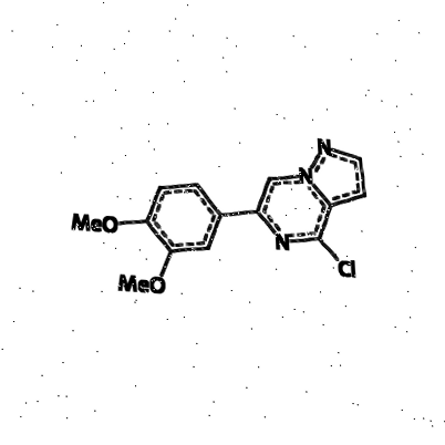 COc1ccc(-c2cn3nccc3c(Cl)n2)cc1OC